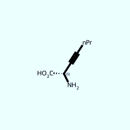 CCCC#C[C@H](N)C(=O)O